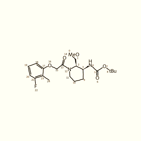 COC[C@H]1[C@@H](NC(=O)OC(C)(C)C)CCCN1C(=O)COc1cccc(F)c1C